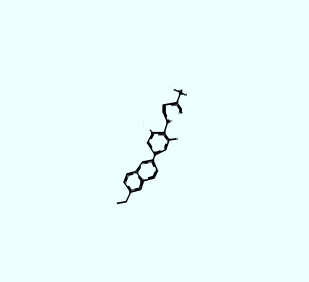 CCc1ccc2cc(-c3cc(F)c(-c4ccc(C(F)(F)F)cc4)c(F)c3)ccc2c1